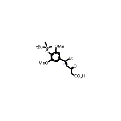 CC/C(=C\C(=O)CC(=O)O)c1cc(OC)c(O[Si](C)(C)C(C)(C)C)c(OC)c1